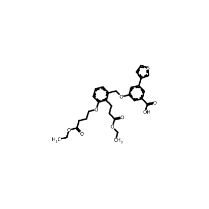 CCOC(=O)CCCOc1cccc(COc2cc(C(=O)O)cc(-c3ccsc3)c2)c1CCC(=O)OCC